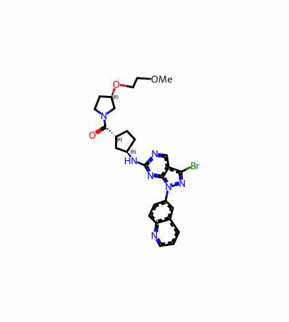 COCCO[C@@H]1CCN(C(=O)[C@@H]2CC[C@@H](Nc3ncc4c(Br)nn(-c5ccc6ncccc6c5)c4n3)C2)C1